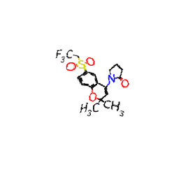 CC1(C)C=C(N2CCCC2=O)c2cc(S(=O)(=O)CC(F)(F)F)ccc2O1